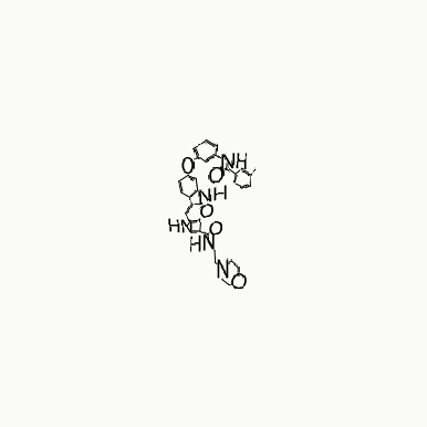 Cc1cccc(C(=O)Nc2cccc(Oc3ccc4c(c3)NC(=O)C4=Cc3cc(C(=O)NCCN4CCOCC4)c[nH]3)c2)c1